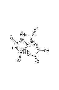 O=C(O)C(=O)O.O=c1[nH]c(=O)c2[nH]c(=O)[nH]c2[nH]1